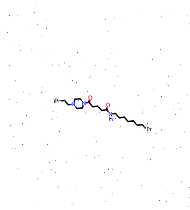 CC(C)CCCCCCCNC(=O)CCCC(=O)N1CCN(CCC(C)C)CC1